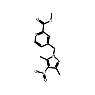 COC(=O)c1cc(Cn2nc(C)c([N+](=O)[O-])c2C)ccn1